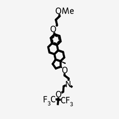 COCCCOc1ccc2c(c1)CCC1C2CC[C@@]2(C)C1CC[C@@H]2OCCN(C)CCOC(C)(C(F)(F)F)C(F)(F)F